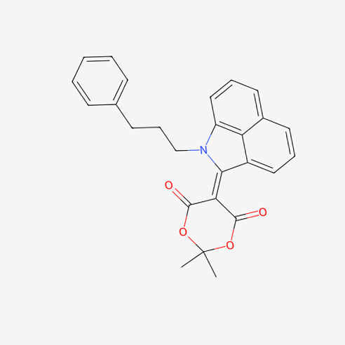 CC1(C)OC(=O)C(=c2c3cccc4cccc(c43)n2CCCc2ccccc2)C(=O)O1